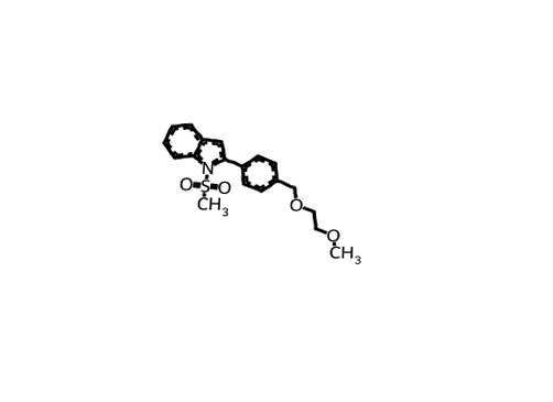 COCCOCc1ccc(-c2cc3ccccc3n2S(C)(=O)=O)cc1